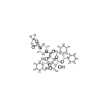 C[C@@H](O)[C@](O)(COCc1ccccc1)[C@@H](OCc1ccccc1)[C@H](OCc1ccccc1)[C@@H](O)C(=O)N1CCN(C(=O)OC(C)(C)C)CC1